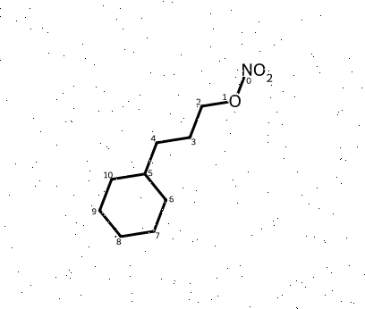 O=[N+]([O-])OCCCC1CC[CH]CC1